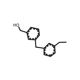 CCc1cccc(Cc2cccc(CO)c2)c1